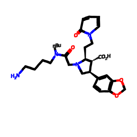 CCCCN(CCCCN)C(=O)CN1C[C@H](c2ccc3c(c2)OCO3)[C@@H](C(=O)O)[C@@H]1CCn1ccccc1=O